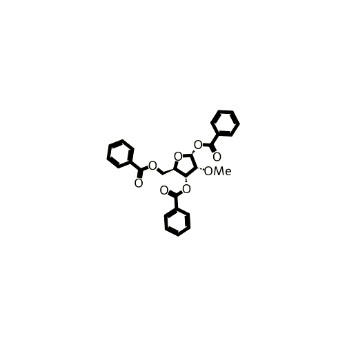 CO[C@H]1[C@@H](OC(=O)c2ccccc2)O[C@H](COC(=O)c2ccccc2)[C@H]1OC(=O)c1ccccc1